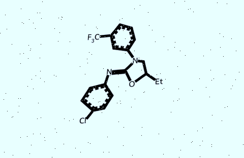 CCC1CN(c2cccc(C(F)(F)F)c2)C(=Nc2ccc(Cl)cc2)O1